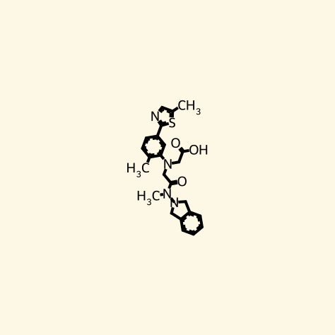 Cc1cnc(-c2ccc(C)c(N(CC(=O)O)CC(=O)N(C)N3Cc4ccccc4C3)c2)s1